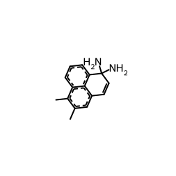 Cc1cc2c3c(cccc3c1C)C(N)(N)C=C2